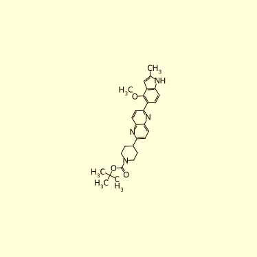 COc1c(-c2ccc3nc(C4CCN(C(=O)OC(C)(C)C)CC4)ccc3n2)ccc2[nH]c(C)cc12